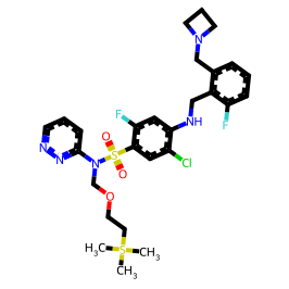 CS(C)(C)CCOCN(c1cccnn1)S(=O)(=O)c1cc(Cl)c(NCc2c(F)cccc2CN2CCC2)cc1F